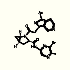 CC(=O)c1nn(CC(=O)N2[C@@H]3C[C@@H]3C[C@H]2C(=O)Nc2cnc(C)c(Br)n2)c2cnccc12